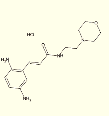 Cl.Nc1ccc(N)c(C=CC(=O)NCCN2CCOCC2)c1